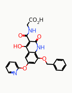 O=C(O)CNC(=O)c1c(O)c2cc(Oc3ccccn3)cc(OCc3ccccc3)c2[nH]c1=O